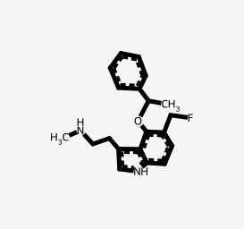 CNCCc1c[nH]c2ccc(CF)c(OC(C)c3ccccc3)c12